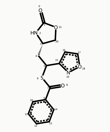 O=C1N[C@@H](CC(SC(=O)c2ccccc2)c2ccon2)CO1